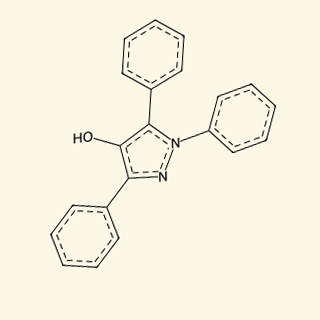 Oc1c(-c2ccccc2)nn(-c2ccccc2)c1-c1ccccc1